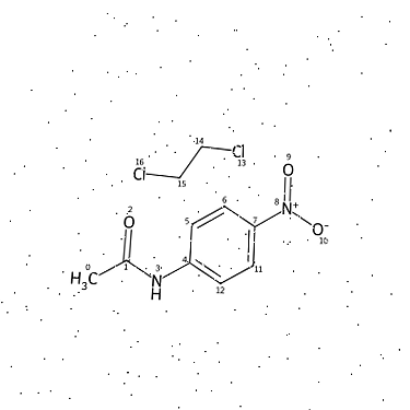 CC(=O)Nc1ccc([N+](=O)[O-])cc1.ClCCCl